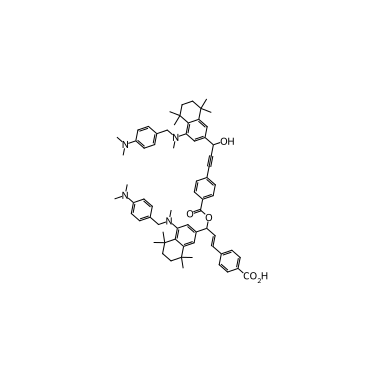 CN(C)c1ccc(CN(C)c2cc(C(O)C#Cc3ccc(C(=O)OC(C=Cc4ccc(C(=O)O)cc4)c4cc(N(C)Cc5ccc(N(C)C)cc5)c5c(c4)C(C)(C)CCC5(C)C)cc3)cc3c2C(C)(C)CCC3(C)C)cc1